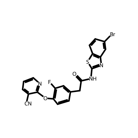 N#Cc1cccnc1Oc1ccc(CC(=O)Nc2nc3cc(Br)ccc3s2)cc1F